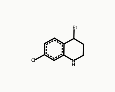 CCC1CCNc2cc(Cl)ccc21